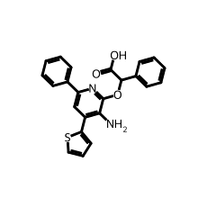 Nc1c(-c2cccs2)cc(-c2ccccc2)nc1OC(C(=O)O)c1ccccc1